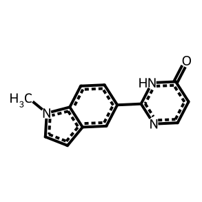 Cn1ccc2cc(-c3nccc(=O)[nH]3)ccc21